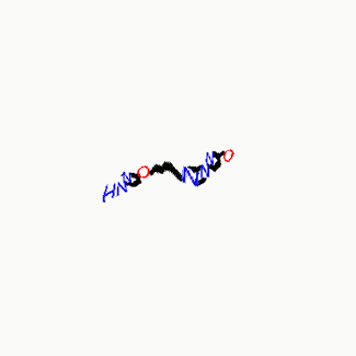 Cn1cc(OCCCCCN2CCN(c3ccc(C=O)cn3)CC2)ccc1=N